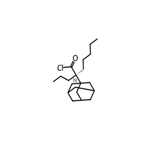 CCCCC[C@](CCC)(C(=O)Cl)C12CC3CC(CC(C3)C1)C2